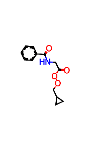 O=C(CNC(=O)c1ccccc1)OOCC1CC1